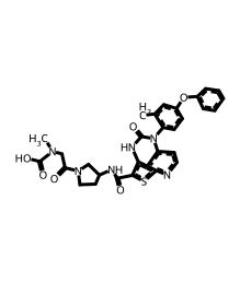 Cc1cc(Oc2ccccc2)ccc1N1C(=O)Nc2c(C(=O)NC3CCN(C(=O)CN(C)C(=O)O)C3)sc3nccc1c23